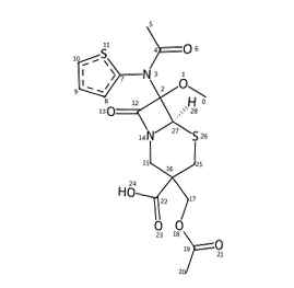 COC1(N(C(C)=O)c2cccs2)C(=O)N2CC(COC(C)=O)(C(=O)O)CS[C@@H]21